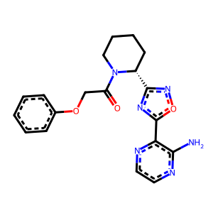 Nc1nccnc1-c1nc([C@H]2CCCCN2C(=O)COc2ccccc2)no1